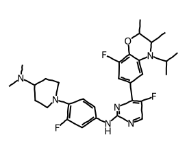 CC1Oc2c(F)cc(-c3nc(Nc4ccc(N5CCC(N(C)C)CC5)c(F)c4)ncc3F)cc2N(C(C)C)C1C